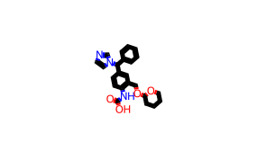 O=C(O)Nc1ccc(C(c2ccccc2)n2ccnc2)cc1COC1CCCCO1